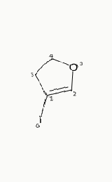 IC1=COCC1